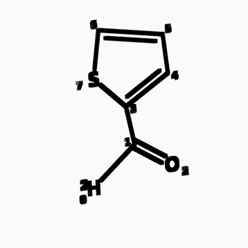 [2H]C(=O)c1cccs1